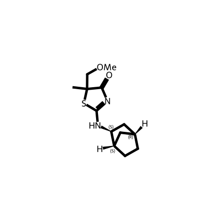 COCC1(C)SC(N[C@H]2C[C@@H]3CC[C@H]2C3)=NC1=O